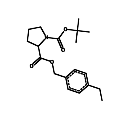 CCc1ccc(COC(=O)C2CCCN2C(=O)OC(C)(C)C)cc1